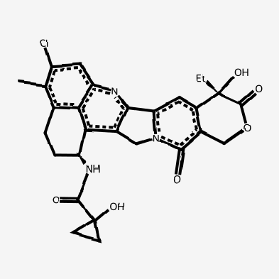 CC[C@@]1(O)C(=O)OCc2c1cc1n(c2=O)Cc2c-1nc1cc(Cl)c(C)c3c1c2[C@@H](NC(=O)C1(O)CC1)CC3